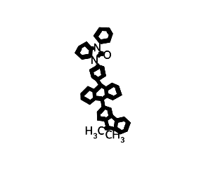 CC1(C)c2ccccc2-c2cc(-c3c4ccccc4c(-c4ccc(-n5c(=O)n(-c6ccccc6)c6ccccc65)cc4)c4ccccc34)ccc21